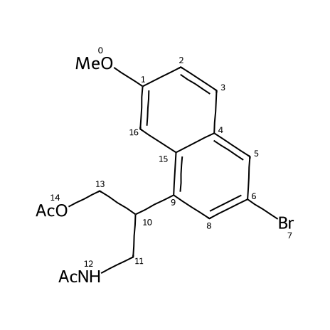 COc1ccc2cc(Br)cc(C(CNC(C)=O)COC(C)=O)c2c1